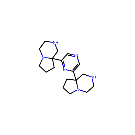 c1ncc(C23CCCN2CCNC3)nc1C12CCCN1CCNC2